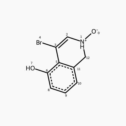 [O-][NH+]1C=C(Br)c2c(O)cccc2C1